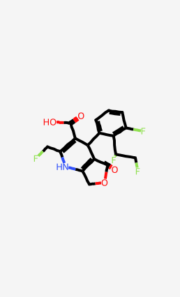 O=C(O)C1=C(CF)NC2=C(C(=O)OC2)C1c1cccc(F)c1C(F)CF